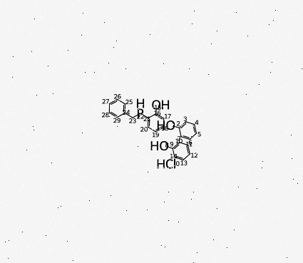 Cl.Oc1ccccc1.Oc1ccccc1.Oc1ccccc1PCc1ccccc1